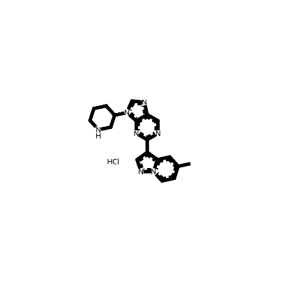 Cc1ccn2ncc(-c3ncc4ncn(C5CCCNC5)c4n3)c2c1.Cl